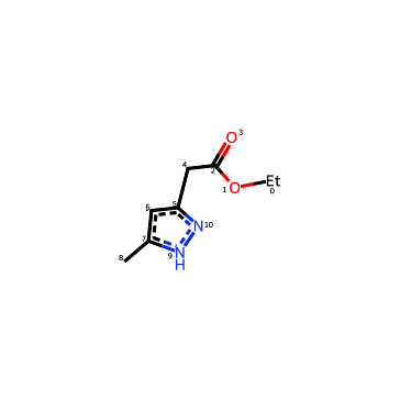 CCOC(=O)Cc1[c]c(C)[nH]n1